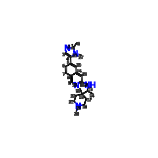 Cc1ncc(-c2ccc3cnc(NC(C)C4(C)CCN(C)CC4)cc3c2)n1C